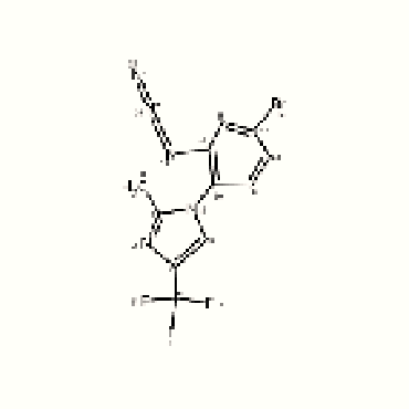 Cc1nc(C(F)(F)F)cn1-c1ccc(Br)cc1N=[N+]=[N-]